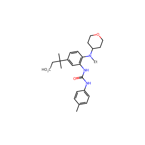 CCN(c1ccc(C(C)(C)CC(=O)O)cc1NC(=O)Nc1ccc(C)cc1)C1CCOCC1